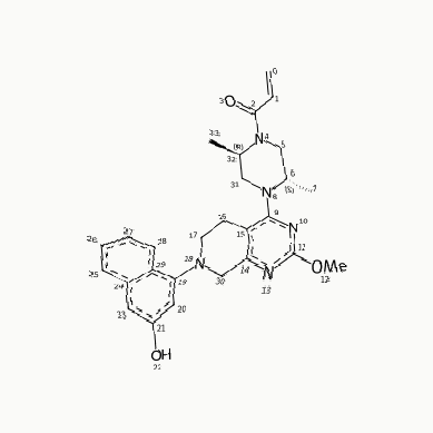 C=CC(=O)N1C[C@H](C)N(c2nc(OC)nc3c2CCN(c2cc(O)cc4ccccc24)C3)C[C@H]1C